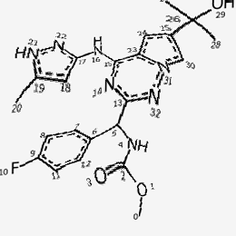 COC(=O)NC(c1ccc(F)cc1)c1nc(Nc2cc(C)[nH]n2)c2cc(C(C)(C)O)cn2n1